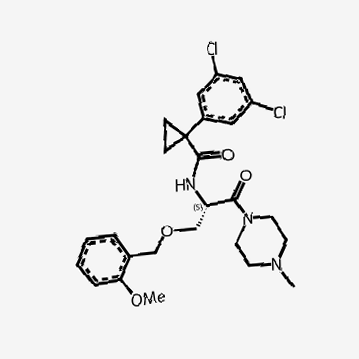 COc1ccccc1COC[C@H](NC(=O)C1(c2cc(Cl)cc(Cl)c2)CC1)C(=O)N1CCN(C)CC1